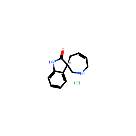 Cl.O=C1Nc2ccccc2[C@]12CC=CCNC2